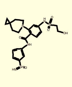 N=[SH](=O)c1cccc(NC(=O)c2ccc(NS(=O)(=O)CCO)cc2N2CCC3(CC2)CC3)c1